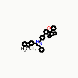 CC1(C)c2ccccc2-c2ccc(-c3cc(C4C=CC=CC4)nc(-c4ccc(-c5ccc6c(c5)C5(c7ccccc7O6)c6ccccc6-c6ccccc65)cc4)n3)cc21